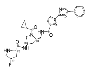 O=C(NC[C@H]1C[C@@H](NC(=O)[C@@H]2C[C@H](F)CN2)CN1C(=O)C1CC1)c1ccc(-c2ncc(-c3ccccc3)s2)s1